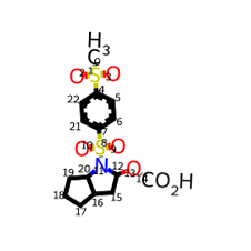 CS(=O)(=O)c1ccc(S(=O)(=O)N2C(OC(=O)O)CC3CCCC32)cc1